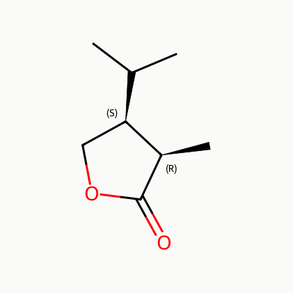 CC(C)[C@@H]1COC(=O)[C@@H]1C